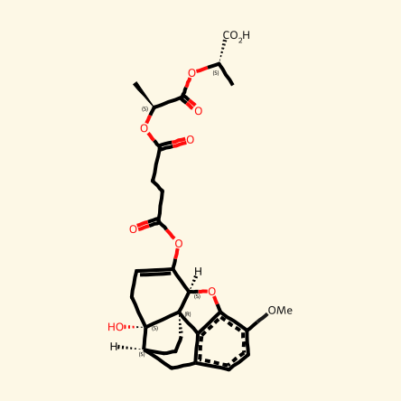 COc1ccc2c3c1O[C@@H]1C(OC(=O)CCC(=O)O[C@@H](C)C(=O)O[C@@H](C)C(=O)O)=CC[C@]4(O)[C@@H](CCC[C@@]314)C2